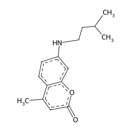 Cc1cc(=O)oc2cc(NCCC(C)C)ccc12